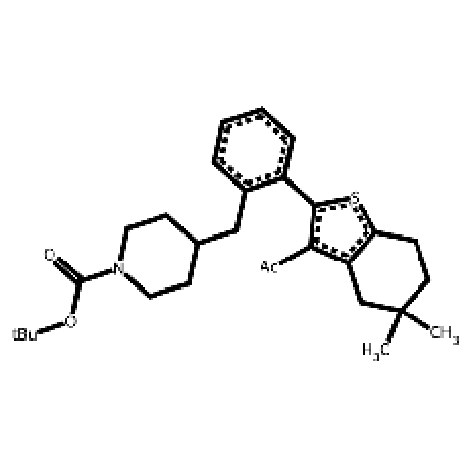 CC(=O)c1c(-c2ccccc2CC2CCN(C(=O)OC(C)(C)C)CC2)sc2c1CC(C)(C)CC2